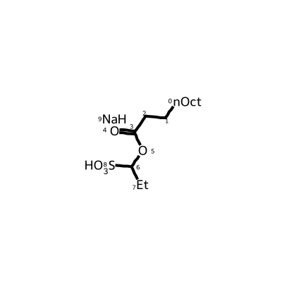 CCCCCCCCCCC(=O)OC(CC)S(=O)(=O)O.[NaH]